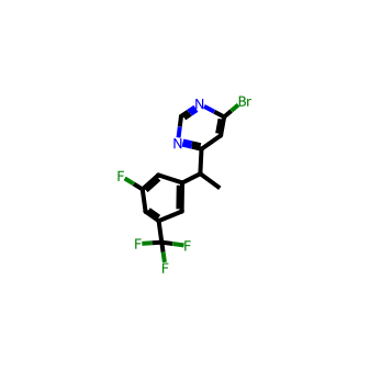 CC(c1cc(F)cc(C(F)(F)F)c1)c1cc(Br)ncn1